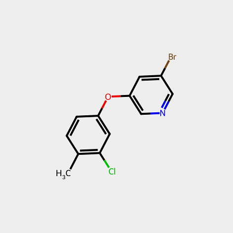 Cc1ccc(Oc2cncc(Br)c2)cc1Cl